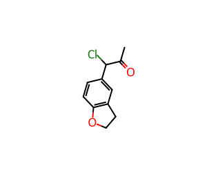 CC(=O)C(Cl)c1ccc2c(c1)CCO2